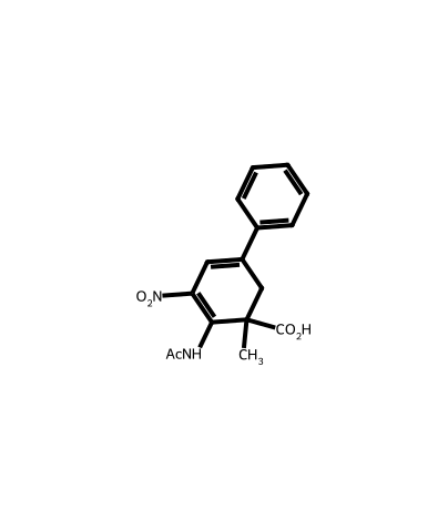 CC(=O)NC1=C([N+](=O)[O-])C=C(c2ccccc2)CC1(C)C(=O)O